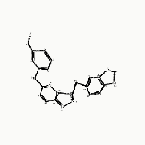 FCc1cccc(Nc2ccc3nnc(Cc4ccc5c(c4)OCO5)n3n2)c1